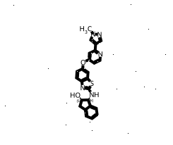 Cn1cc(-c2cc(Oc3ccc4nc(N[C@@H]5c6ccccc6C[C@@H]5O)sc4c3)ccn2)cn1